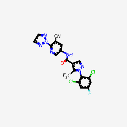 N#Cc1cc(NC(=O)c2cnn(-c3c(Cl)cc(F)cc3Cl)c2C(F)(F)F)cnc1-n1nccn1